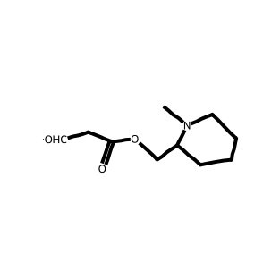 CN1CCCCC1COC(=O)C[C]=O